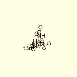 CC(C)(C)OC(=O)NC[C@H]1CCN(CC(c2ccccc2)c2ccccc2)C(=O)[C@H](CCCNC(=O)OCc2ccccc2)N1